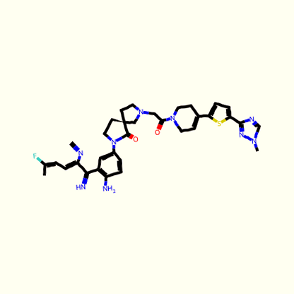 C=N/C(=C\C=C(/C)F)C(=N)c1cc(N2CC[C@]3(CCN(CC(=O)N4CC=C(c5ccc(-c6ncn(C)n6)s5)CC4)C3)C2=O)ccc1N